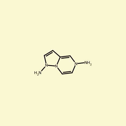 NN1C=CN2C(=C1)C=CN2N